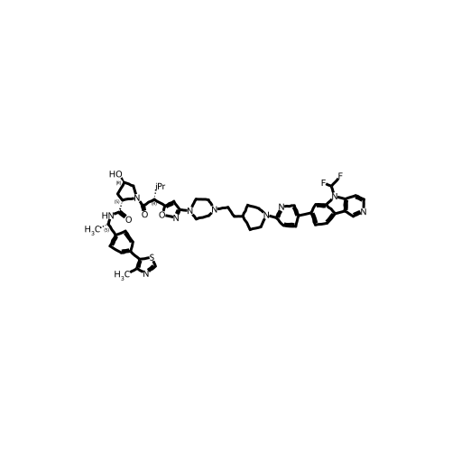 Cc1ncsc1-c1ccc([C@H](C)NC(=O)[C@@H]2C[C@@H](O)CN2C(=O)[C@@H](c2cc(N3CCN(CCC4CCN(c5ccc(-c6ccc7c8cnccc8n(C(F)F)c7c6)cn5)CC4)CC3)no2)C(C)C)cc1